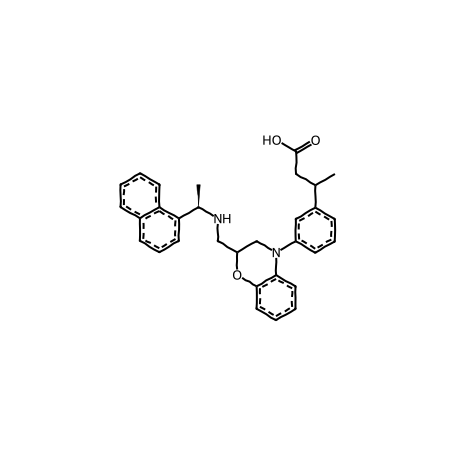 CC(CC(=O)O)c1cccc(N2CC(CN[C@H](C)c3cccc4ccccc34)Oc3ccccc32)c1